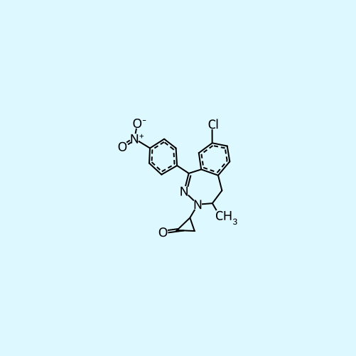 CC1Cc2ccc(Cl)cc2C(c2ccc([N+](=O)[O-])cc2)=NN1C1CC1=O